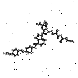 CCOC(=O)CNC(=O)OCC1OC(n2cnc3c(NCc4ccc(OCc5ccc(OC)cc5)cc4)ncnc32)C2OC(C)(C)OC12